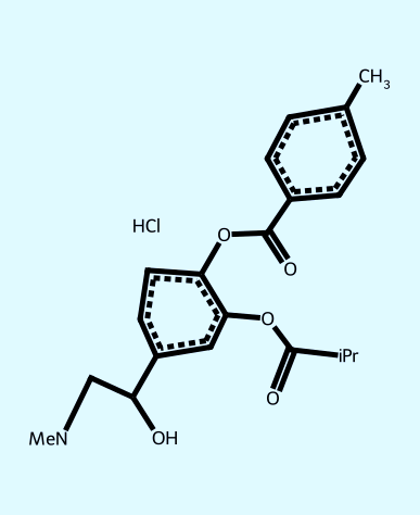 CNCC(O)c1ccc(OC(=O)c2ccc(C)cc2)c(OC(=O)C(C)C)c1.Cl